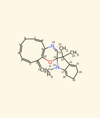 C=C1/C=C\C=C/C/C=C\C2=C1OC1(C=N2)N(C)C2=CCCC=C2C1(C)C